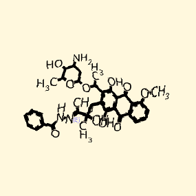 COc1cccc2c1C(=O)c1c(O)c(C(C)OC3CC(N)C(O)C(C)O3)c(CC(C)(O)/C(C)=N/NC(=O)c3ccccc3)c(O)c1C2=O